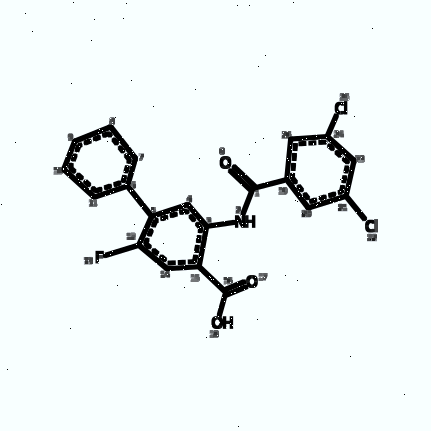 O=C(Nc1cc(-c2ccccc2)c(F)cc1C(=O)O)c1cc(Cl)cc(Cl)c1